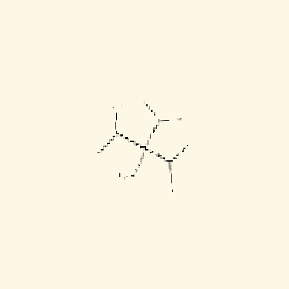 CC(C)C([SiH3])(C(C)Cl)N(C)C